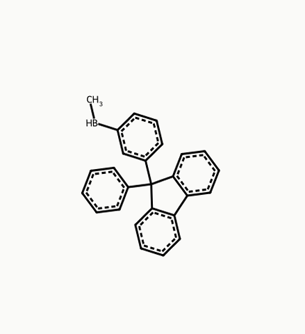 CBc1cccc(C2(c3ccccc3)c3ccccc3-c3ccccc32)c1